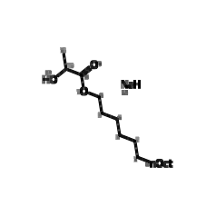 CCCCCCCCCCCCCCOC(=O)C(C)O.[NaH]